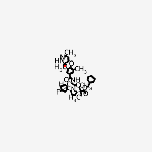 CCC(CC)(C(=O)OCc1ccccc1)[C@H]1CC[C@@H](c2cccc(F)c2)N1C(=O)[C@@H](C)NC(=O)c1cc(C)c(Oc2cc(C)n[nH]c2=O)c(C)c1